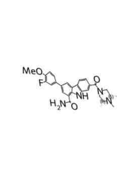 COc1ccc(-c2cc(C(N)=O)c3[nH]c4cc(C(=O)N5C[C@@H](C)N(C)[C@@H](C)C5)ccc4c3c2)cc1F